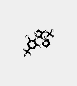 FC(Cl)(Cl)Sc1cnn(-c2c(Cl)cc(C(F)(F)F)cc2Cl)c1-n1cccc1